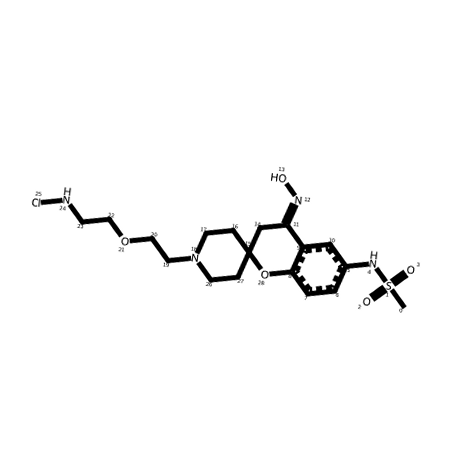 CS(=O)(=O)Nc1ccc2c(c1)/C(=N/O)CC1(CCN(CCOCCNCl)CC1)O2